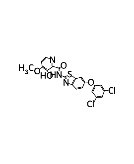 COc1ccnc(C(=O)Nc2nc3ccc(Oc4cc(Cl)cc(Cl)c4)cc3s2)c1O